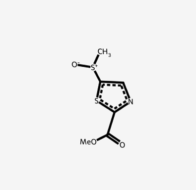 COC(=O)c1ncc([S+](C)[O-])s1